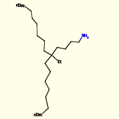 CCCCCCCCCCCCCCCCC(CC)(CCCCN)CCCCCCCCCCCCCCCC